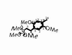 COc1cc(CC[Si](OC)(OC)OC)c(OC)cc1C